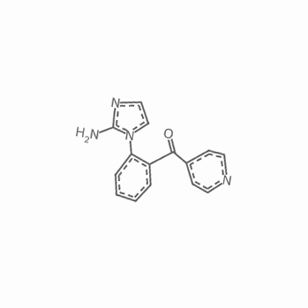 Nc1nccn1-c1ccccc1C(=O)c1ccncc1